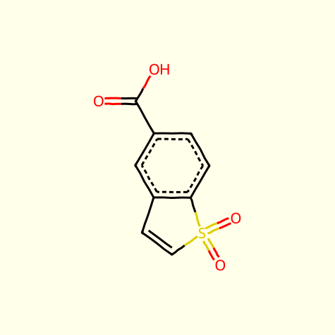 O=C(O)c1ccc2c(c1)C=CS2(=O)=O